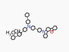 CC1(C)c2ccccc2-c2ccc(-c3ccc(N(c4ccc(-c5ccccc5)cc4)c4ccc(-c5ccc(-n6c7ccccc7c7c8oc9ccccc9c8ccc76)cc5)cc4)cc3)cc21